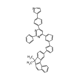 CC1(C)c2ccc(-c3cccc(-c4cccc(-c5cc(-c6ccc(-c7cccnc7)cc6)nc(-c6ccccc6)n5)c4)c3)cc2-c2c1ccc1ccccc21